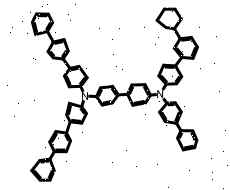 c1ccc(-c2ccc(-c3ccc(N(c4ccc(-c5ccc(-c6ccccc6)cc5)cc4)c4ccc(-c5ccc(N(c6ccc(-c7ccccc7)cc6)c6ccc(-c7cccc(C8CCCCC8)c7)cc6)cc5)cc4)cc3)cc2)cc1